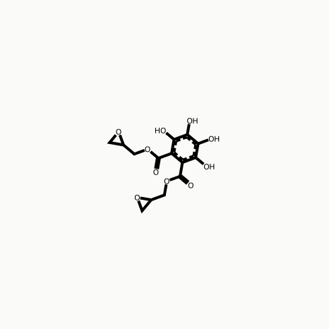 O=C(OCC1CO1)c1c(O)c(O)c(O)c(O)c1C(=O)OCC1CO1